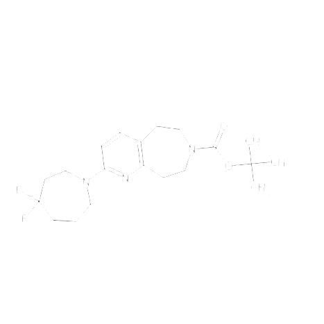 CC(C)(C)OC(=O)N1CCc2ccc(N3CCCC(F)(F)CC3)nc2CC1